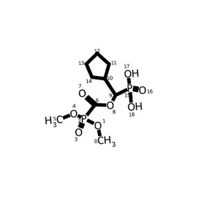 COP(=O)(OC)C(=O)OC(C1CCCC1)P(=O)(O)O